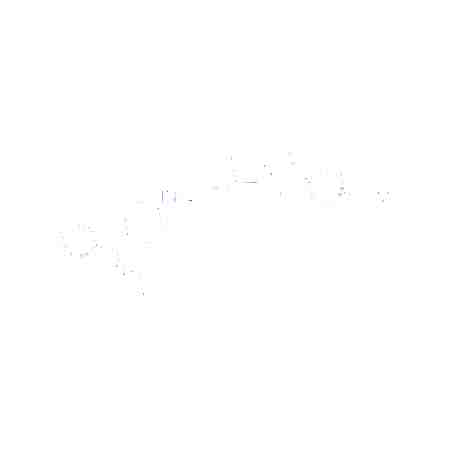 COc1cc(C)c(S(=O)(=O)N2CCCC(OCC(=O)NC3CCC(C(c4ccccc4)N4CCOCC4)CC3)C2)c(C)c1